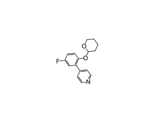 Fc1ccc(OC2CCCCO2)c(-c2ccncc2)c1